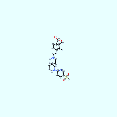 Cc1c(CCN2CCC3(CCCN(c4ccc(S(C)(=O)=O)cn4)C3)CC2)ccc2c1COC2=O